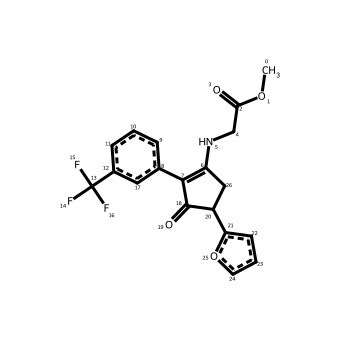 COC(=O)CNC1=C(c2cccc(C(F)(F)F)c2)C(=O)C(c2ccco2)C1